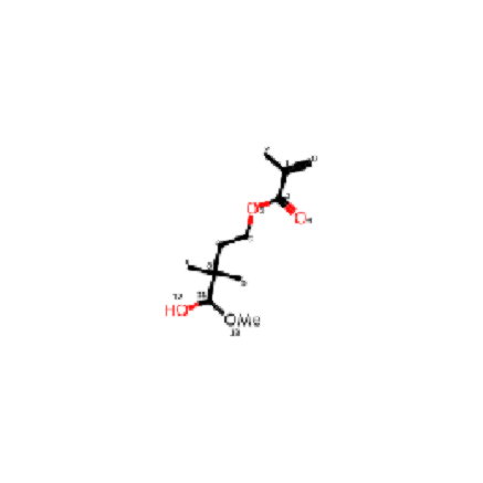 C=C(C)C(=O)OCCC(C)(C)C(O)OC